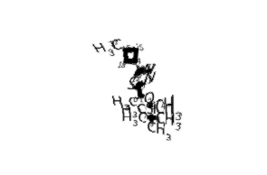 C[C@H](O[Si](C)(C)C(C)(C)C)c1nnc([C@H]2C[C@H](C)C2)s1